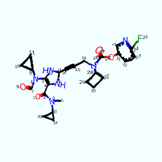 CN(C(=O)C1=C(N(C=O)C2CC2)NC(C#CCN(C(=O)Oc2ccc(F)nc2)C2CCC2)N1)C1CC1